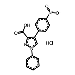 Cl.O=C(O)c1nn(-c2ccccc2)cc1-c1ccc([N+](=O)[O-])cc1